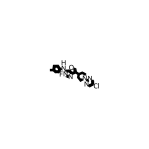 Cc1ccc(Nc2ncnc3c(C4CCN(c5ncc(Cl)cn5)CC4)coc23)c(F)c1